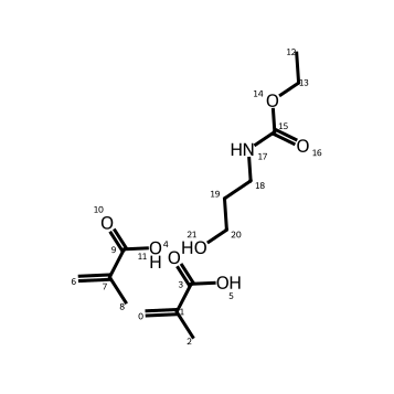 C=C(C)C(=O)O.C=C(C)C(=O)O.CCOC(=O)NCCCO